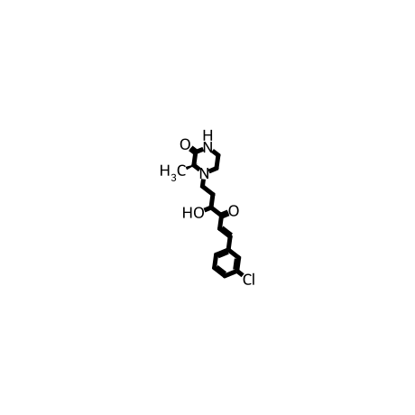 C[C@H]1C(=O)NCCN1CCC(O)C(=O)/C=C/c1cccc(Cl)c1